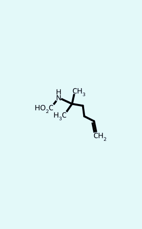 C=CCCC(C)(C)NC(=O)O